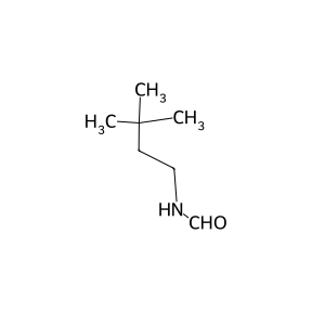 CC(C)(C)CCNC=O